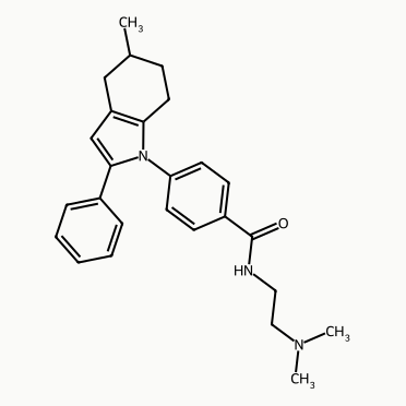 CC1CCc2c(cc(-c3ccccc3)n2-c2ccc(C(=O)NCCN(C)C)cc2)C1